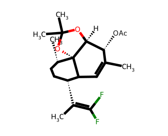 CC(=O)O[C@@H]1C(C)=CC2[C@H](C(C)=C(F)F)CC[C@H](C)[C@]23OC(C)(C)O[C@@H]13